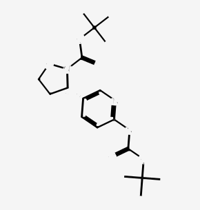 CC(C)(C)OC(=O)Nc1ccc([C@@H]2CCON2C(=O)OC(C)(C)C)cn1